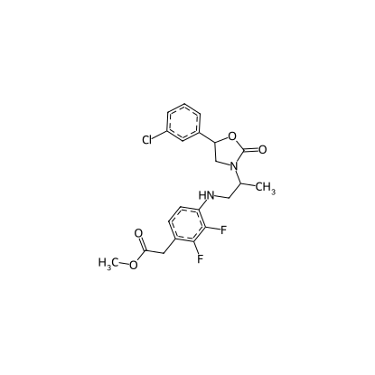 COC(=O)Cc1ccc(NCC(C)N2CC(c3cccc(Cl)c3)OC2=O)c(F)c1F